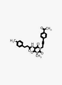 CC(=O)c1ccc(C#CCn2c(Cl)c(NC(=O)CCc3ccc(C)cc3)c(=O)n(C)c2=O)cc1